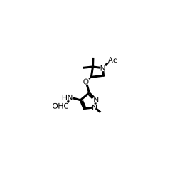 CC(=O)N1C[C@@H](Oc2nn(C)cc2NC=O)C1(C)C